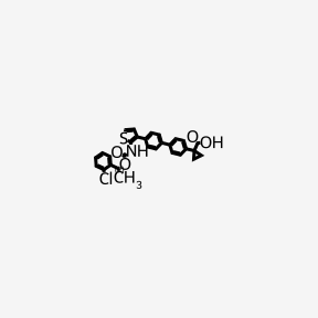 C[C@@H](OC(=O)Nc1sccc1-c1ccc(-c2ccc(C3(C(=O)O)CC3)cc2)cc1)c1ccccc1Cl